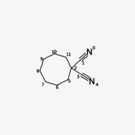 N#CC1(C#N)CCCCCCC1